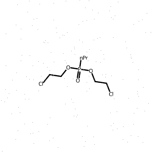 CCCP(=O)(OCCCl)OCCCl